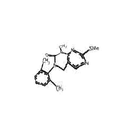 CSc1ncc2c(n1)N(C)C(=O)N(c1c(C)cccc1C)C2